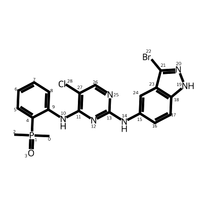 CP(C)(=O)c1ccccc1Nc1nc(Nc2ccc3[nH]nc(Br)c3c2)ncc1Cl